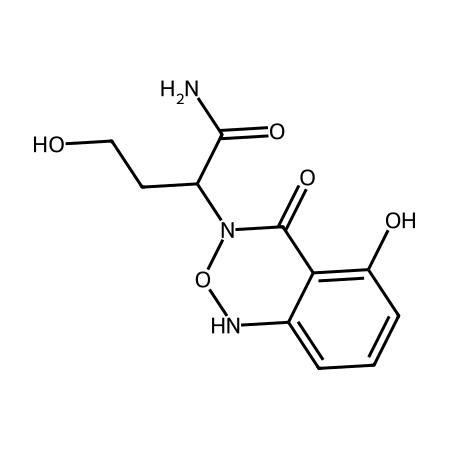 NC(=O)C(CCO)N1ONc2cccc(O)c2C1=O